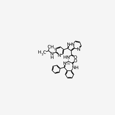 CC(C)Nc1ccc(-c2nn3cccnc3c2C(=O)N[C@H]2N=C(c3ccccc3)c3ccccc3NC2=O)cn1